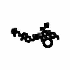 CCN1CCN(C2NC(NC3COC3)CC(C(=O)NC[C@H](O)CN3CCc4c(ccc(OCc5ocnc5C)c4C)C3)N2C2CCCCCCCCC2)CC1